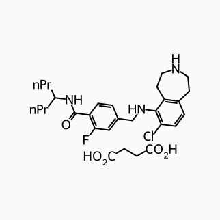 CCCC(CCC)NC(=O)c1ccc(CNc2c(Cl)ccc3c2CCNCC3)cc1F.O=C(O)CCC(=O)O